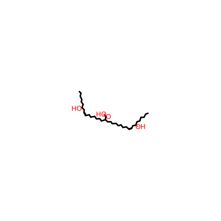 CCCCCC[C@@H](O)C/C=C\CCCCCCCCC(CCCCCC/C=C\C[C@H](O)CCCCCC)C(=O)O